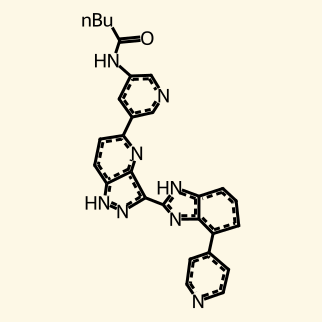 CCCCC(=O)Nc1cncc(-c2ccc3[nH]nc(-c4nc5c(-c6ccncc6)cccc5[nH]4)c3n2)c1